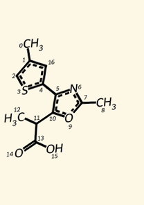 Cc1csc(-c2nc(C)oc2C(C)C(=O)O)c1